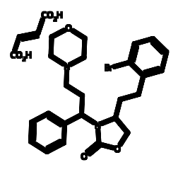 O=C(O)/C=C/C(=O)O.O=C1OCC(CCc2ccccc2Br)N1C(CCN1CCOCC1)c1ccccc1